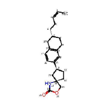 CC/C=C\CC[C@@H]1CCc2cc([C@H]3CC[C@]4(COC(=O)N4)C3)ccc2C1